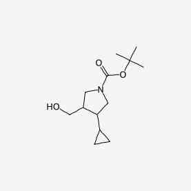 CC(C)(C)OC(=O)N1CC(CO)C(C2CC2)C1